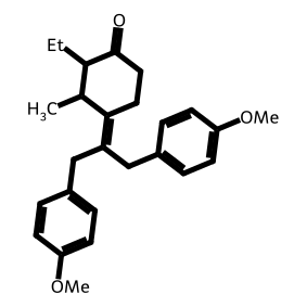 CCC1C(=O)CCC(=C(Cc2ccc(OC)cc2)Cc2ccc(OC)cc2)C1C